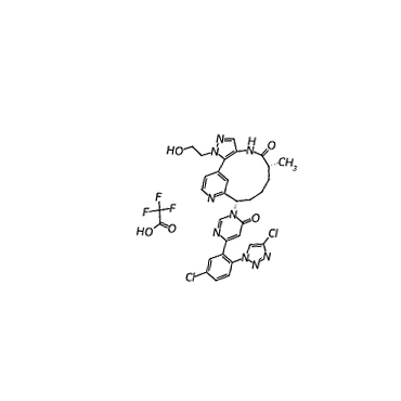 C[C@@H]1CCC[C@H](n2cnc(-c3cc(Cl)ccc3-n3cc(Cl)nn3)cc2=O)c2cc(ccn2)-c2c(cnn2CCO)NC1=O.O=C(O)C(F)(F)F